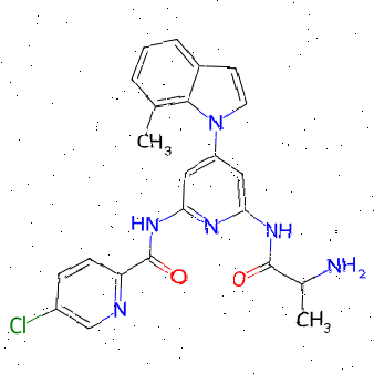 Cc1cccc2ccn(-c3cc(NC(=O)c4ccc(Cl)cn4)nc(NC(=O)C(C)N)c3)c12